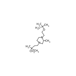 C[C@H]1CN(CCC(C)(C)C)CCN1CCOC(C)(C)C